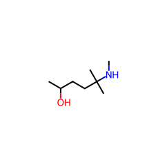 CNC(C)(C)CCC(C)O